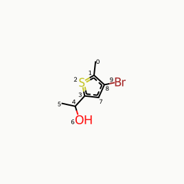 Cc1sc(C(C)O)cc1Br